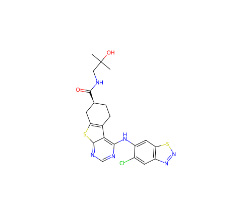 CC(C)(O)CNC(=O)[C@H]1CCc2c(sc3ncnc(Nc4cc5snnc5cc4Cl)c23)C1